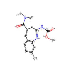 CCCN(CCC)C(=O)C1=Cc2ccc(C)cc2N=C(NC(=O)OC(C)(C)C)C1